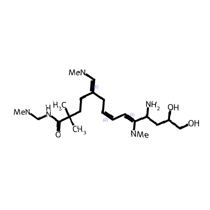 CN/C=C(/C/C=C\C=C(/NC)C(N)CC(O)CO)CCC(C)(C)C(=O)NCNC